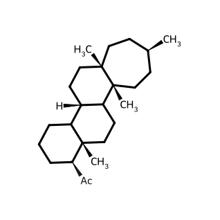 CC(=O)[C@H]1CCCC2[C@@H]3CC[C@]4(C)CC[C@@H](C)CC[C@]4(C)C3CC[C@@]21C